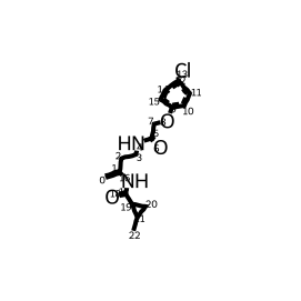 C=C(CCNC(=O)COc1ccc(Cl)cc1)NC(=O)C1CC1C